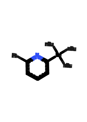 CCC[CH2][Sn]([CH2]CCC)([CH2]CCC)[c]1cccc(CC)n1